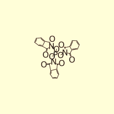 O=C1c2ccccc2C(=O)N1OP(ON1C(=O)c2ccccc2C1=O)ON1C(=O)c2ccccc2C1=O